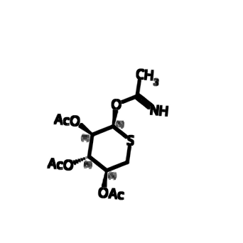 CC(=N)O[C@H]1SC[C@@H](OC(C)=O)[C@H](OC(C)=O)[C@H]1OC(C)=O